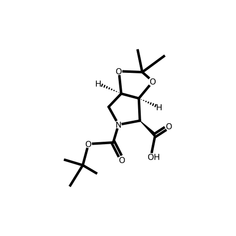 CC(C)(C)OC(=O)N1C[C@H]2OC(C)(C)O[C@H]2[C@H]1C(=O)O